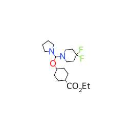 CCOC(=O)C1CCC(OC(N2CCCC2)N2CCC(F)(F)CC2)CC1